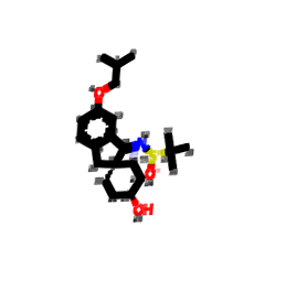 CC(C)COc1ccc2c(c1)/C(=N/[S+]([O-])C(C)(C)C)[C@]1(CC[C@H](O)CC1)C2